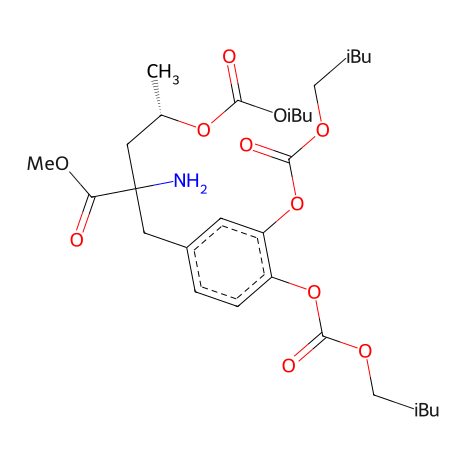 CCC(C)COC(=O)Oc1ccc(CC(N)(C[C@H](C)OC(=O)OCC(C)C)C(=O)OC)cc1OC(=O)OCC(C)CC